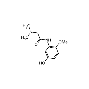 COc1ccc(O)cc1NC(=O)CN(C)C